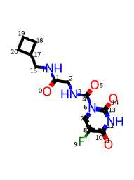 O=C(CNC(=O)n1cc(F)c(=O)[nH]c1=O)NCC1CCC1